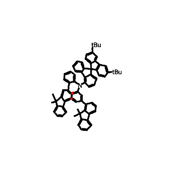 CC(C)(C)c1ccc2c(c1)-c1cc(C(C)(C)C)ccc1C21c2ccccc2-c2c(N(c3cccc(-c4cccc5c4C(C)(C)c4ccccc4-5)c3)c3ccccc3-c3ccc4c(c3)C(C)(C)c3ccccc3-4)cccc21